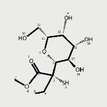 CC[C@@](S)(C(=O)OC)[C@@H]1O[C@H](CO)[C@H](O)[C@H](O)[C@H]1O